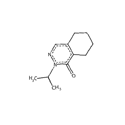 CC(C)n1ncc2c(c1=O)CCCC2